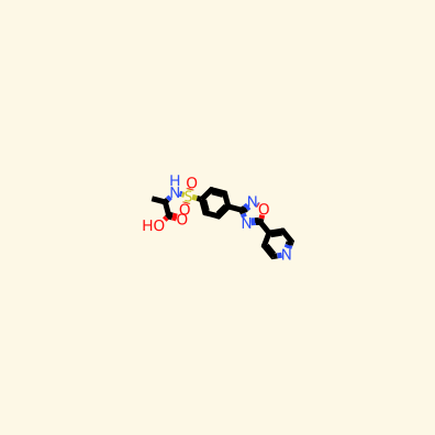 CC(NS(=O)(=O)c1ccc(-c2noc(-c3ccncc3)n2)cc1)C(=O)O